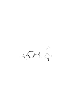 CC(C)(C)c1ccc(C(=O)N[C@H]2C(=O)N[C@H]2CN)cc1